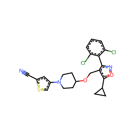 N#Cc1cc(N2CCC(OCc3c(-c4c(Cl)cccc4Cl)noc3C3CC3)CC2)cs1